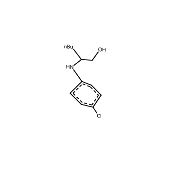 CCCCC(CO)Nc1ccc(Cl)cc1